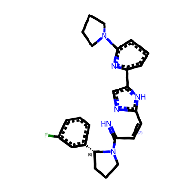 N=C(/C=C\c1ncc(-c2cccc(N3CCCC3)n2)[nH]1)N1CCC[C@@H]1c1cccc(F)c1